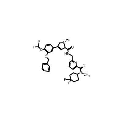 CC(=O)N1CC(c2ccc(OC(F)F)c(OCc3ccccc3)c2)=CC1C(=O)NCc1cccc(C(=O)N(C)C2CCC(F)(F)CC2)n1